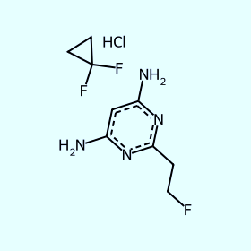 Cl.FC1(F)CC1.Nc1cc(N)nc(CCF)n1